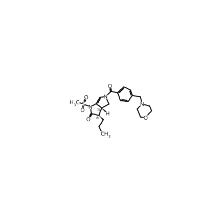 CCC[C@H]1C(=O)N(S(C)(=O)=O)C2=CN(C(=O)c3ccc(CN4CCOCC4)cc3)C[C@@H]21